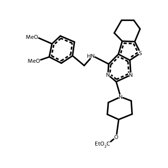 CCOC(=O)OC1CCN(c2nc(NCc3ccc(OC)c(OC)c3)c3c4c(sc3n2)CCCC4)CC1